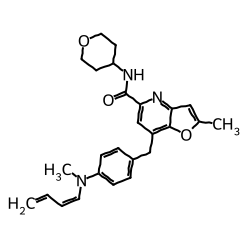 C=C/C=C\N(C)c1ccc(Cc2cc(C(=O)NC3CCOCC3)nc3cc(C)oc23)cc1